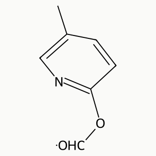 Cc1ccc(O[C]=O)nc1